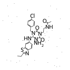 CCc1nc2ccc(NC3N(N)C(=O)N(CCNC(C)=O)C(=O)N3Cc3ccc(Cl)cc3)cc2s1